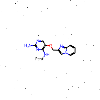 CCC[C@H](C)Nc1nc(N)ncc1OCc1cn2ccccc2n1